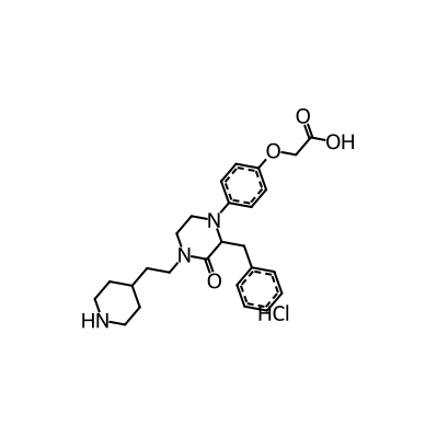 Cl.O=C(O)COc1ccc(N2CCN(CCC3CCNCC3)C(=O)C2Cc2ccccc2)cc1